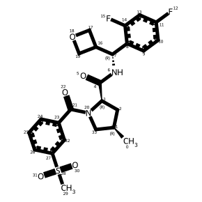 C[C@@H]1C[C@H](C(=O)N[C@@H](c2ccc(F)cc2F)C2COC2)N(C(=O)c2cccc(S(C)(=O)=O)c2)C1